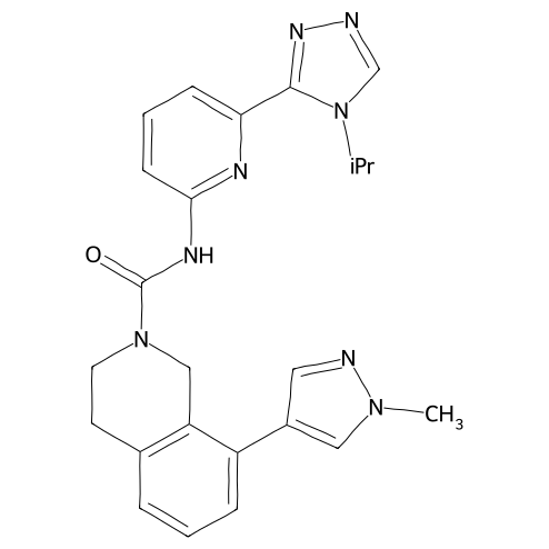 CC(C)n1cnnc1-c1cccc(NC(=O)N2CCc3cccc(-c4cnn(C)c4)c3C2)n1